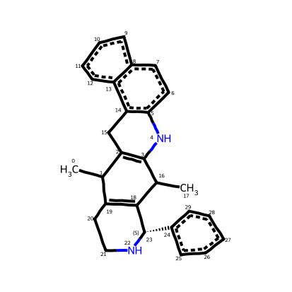 CC1C2=C(Nc3ccc4ccccc4c3C2)C(C)C2=C1CCN[C@H]2c1ccccc1